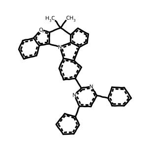 CC1(C)c2oc3ccccc3c2-n2c3ccc(-c4nc(-c5ccccc5)cc(-c5ccccc5)n4)cc3c3cccc1c32